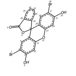 O=C1OC2(c3cc(Br)c(O)cc3Oc3cc(O)c(Br)cc32)c2ccccc21